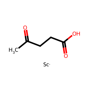 CC(=O)CCC(=O)O.[Sc]